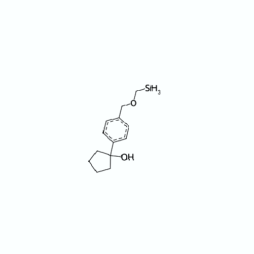 OC1(c2ccc(COC[SiH3])cc2)CCCC1